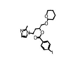 Cc1nccn1CCC(COC1CCCCO1)OC(=O)c1ccc(I)cc1